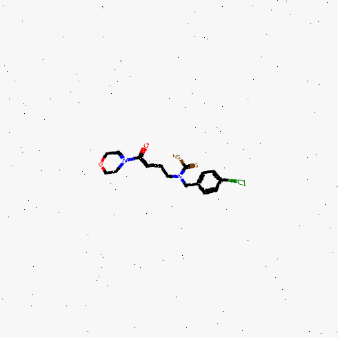 O=C(CCCN(Cc1ccc(Cl)cc1)C(=S)S)N1CCOCC1